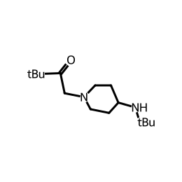 CC(C)(C)NC1CCN(CC(=O)C(C)(C)C)CC1